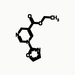 CCOC(=O)C1=CN(c2ncco2)C=NC1